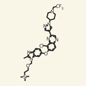 Cc1nc2ccc(Oc3ccc4ncc(-c5cnn(C6CCN(CC(F)(F)F)CC6)c5)nc4c3Cl)cc2n1COCC[Si](C)(C)C